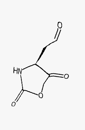 O=CC[C@@H]1NC(=O)OC1=O